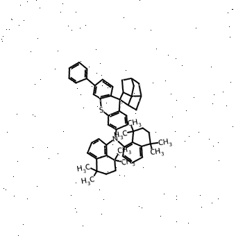 CC1(C)CCC(C)(C)c2c(N(c3ccc4c(c3)Sc3cc(-c5ccccc5)ccc3C43C4CC5CC6CC3C64C5)c3cccc4c3C(C)(C)CCC4(C)C)cccc21